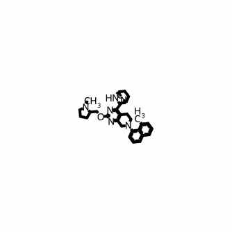 Cc1cccc2cccc(N3CCc4c(nc(OCC5CCCN5C)nc4N4CC5CCC4CN5)C3)c12